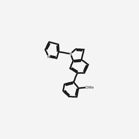 COc1ccccc1-c1ccc2ccn(-c3cccnc3)c2c1